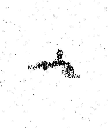 COC(=O)N[C@H](C(=O)N1CCC[C@H]1c1ncc(-c2cc(F)c3c(c2)OC(c2ccc4c(c2)CC2CC2(C)O4)n2c-3cc3cc(-c4cnc([C@@H]5CCCN5C(=O)[C@@H](NC(=O)OC)C(C)C)[nH]4)ccc32)[nH]1)C(C)C